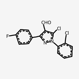 O=Cc1c(-c2ccc(F)cc2)nn(-c2ccccc2Cl)c1Cl